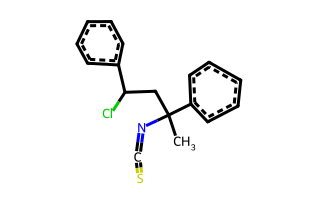 CC(CC(Cl)c1ccccc1)(N=C=S)c1ccccc1